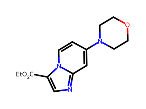 CCOC(=O)c1cnc2cc(N3CCOCC3)ccn12